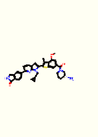 COc1cc(C(=O)N2CCC[C@@H](N)C2)cc2sc(-c3cc4ccc(-c5ccc6c(c5)CNC6=O)nc4n3CC3CC3)c(C)c12